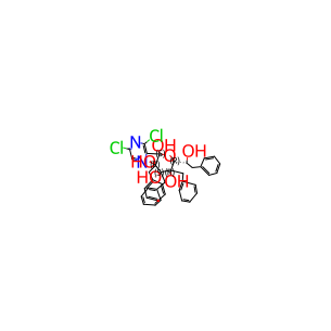 OC(Cc1ccccc1)[C@H]1O[C@@](O)(c2ncc(Cl)nc2Cl)[C@@](O)(Cc2ccccc2)[C@](O)(Cc2ccccc2)[C@@]1(O)Cc1ccccc1